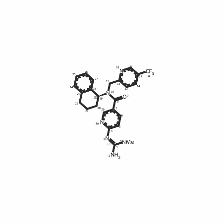 CN/C(N)=N\c1ccc(C(=O)N(Cc2ccc(C(F)(F)F)cn2)[C@H]2CCCc3ccccc32)cn1